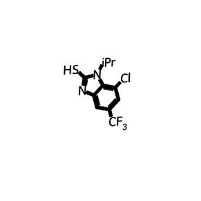 CC(C)n1c(S)nc2cc(C(F)(F)F)cc(Cl)c21